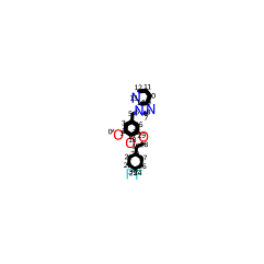 COc1cc(Cn2cnc3cccnc32)cc2c1OC(C1CCC(F)(F)CC1)CO2